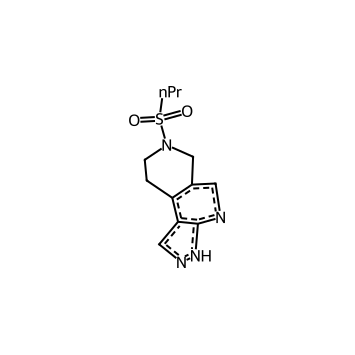 CCCS(=O)(=O)N1CCc2c(cnc3[nH]ncc23)C1